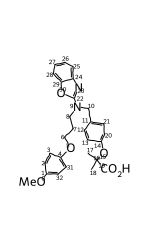 COc1ccc(OCCCN(Cc2ccc(OC(C)(C)C(=O)O)cc2)c2nc3ccccc3o2)cc1